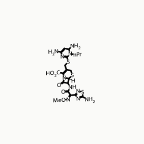 CCCN1C(SCC2=C(C(=O)O)N3C(=O)C(NC(=O)/C(=N\OC)c4nsc(N)n4)[C@@H]3SC2)=NC(N)=CC1N